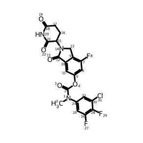 CN(C(=O)Oc1cc(F)c2c(c1)C(=O)N(C1CCC(=O)NC1=O)C2)c1cc(F)c(F)c(Cl)c1